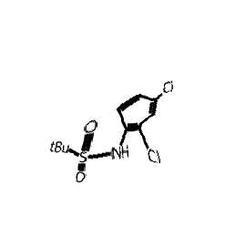 CC(C)(C)S(=O)(=O)Nc1ccc(Cl)cc1Cl